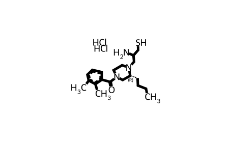 CCCC[C@@H]1CN(C(=O)c2cccc(C)c2C)CCN1CC(N)CS.Cl.Cl